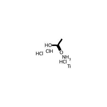 CC(=O)O.Cl.Cl.Cl.N.[Ti]